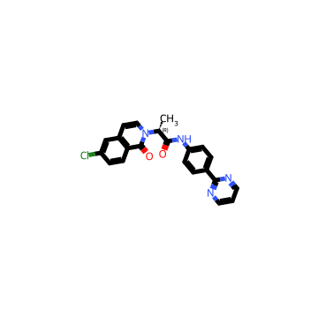 C[C@H](C(=O)Nc1ccc(-c2ncccn2)cc1)n1ccc2cc(Cl)ccc2c1=O